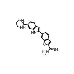 N=C(N)c1cc2ccc(-c3cc4ccc(C5=NCCCN5)cc4[nH]3)cc2o1